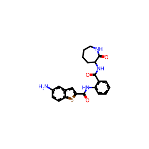 Nc1ccc2sc(C(=O)Nc3ccccc3C(=O)NC3CCCCNC3=O)cc2c1